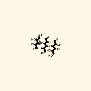 O=CC(O)C(O)C(O)C(O)CO.O=CC(O)C(O)C(O)C(O)CO.O=CC(O)C(O)C(O)CO